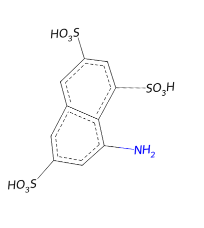 Nc1cc(S(=O)(=O)O)cc2cc(S(=O)(=O)O)cc(S(=O)(=O)O)c12